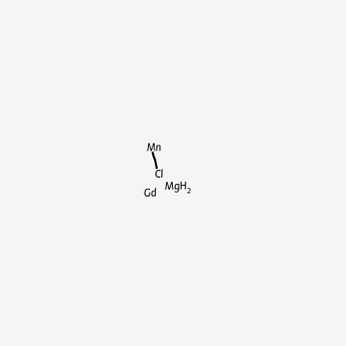 [Cl][Mn].[Gd].[MgH2]